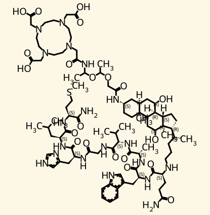 CSCC[C@H](NC(=O)[C@H](CC(C)C)NC(=O)[C@H](Cc1c[nH]cn1)NC(=O)CNC(=O)[C@@H](NC(=O)[C@H](C)NC(=O)[C@H](Cc1c[nH]c2ccccc12)NC(=O)[C@H](CCC(N)=O)NCCC[C@@H](C)[C@H]1CC[C@H]2[C@@H]3[C@H](O)C[C@@H]4C[C@@H](NC(=O)COC(C)OC(C)NC(=O)CN5CCN(CC(=O)O)CCN(CC(=O)O)CCN(CC(=O)O)CC5)CC[C@]4(C)[C@H]3C[C@H](O)[C@]12C)C(C)C)C(N)=O